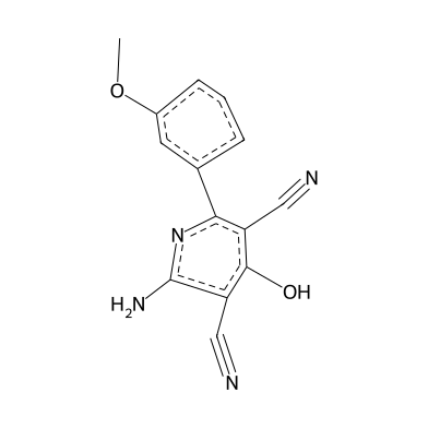 COc1cccc(-c2nc(N)c(C#N)c(O)c2C#N)c1